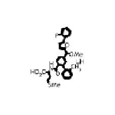 COC(c1ccc(C(=O)NC(CCSC)C(=O)O)c(-c2ccccc2C)c1)c1ccc(-c2ccccc2F)o1.[LiH]